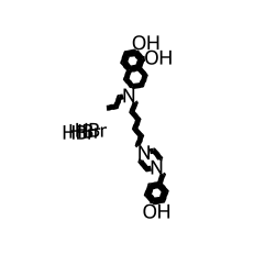 Br.Br.Br.CCCN(CCCCCCN1CCN(Cc2ccc(O)cc2)CC1)C1CCc2c(ccc(O)c2O)C1